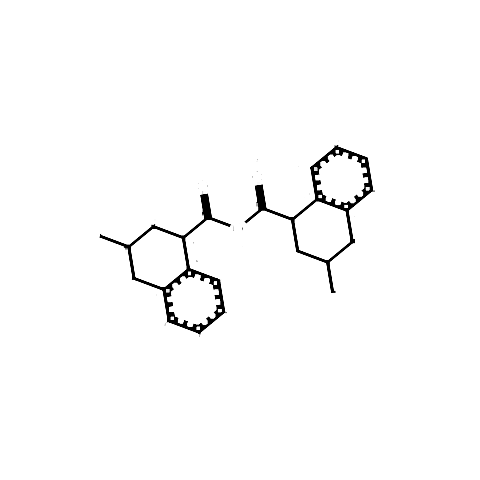 CC1Cc2ccccc2C(C(=O)OC(=O)C2CC(C)Cc3ccccc32)C1